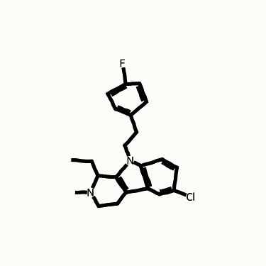 CCC1c2c(c3cc(Cl)ccc3n2CCc2ccc(F)cc2)CCN1C